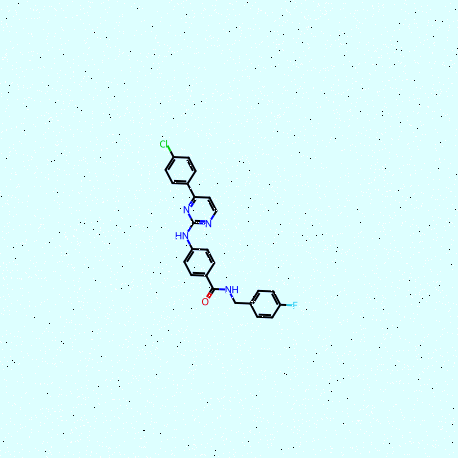 O=C(NCc1ccc(F)cc1)c1ccc(Nc2nccc(-c3ccc(Cl)cc3)n2)cc1